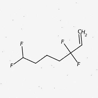 C=CC(F)(F)CCCC(F)F